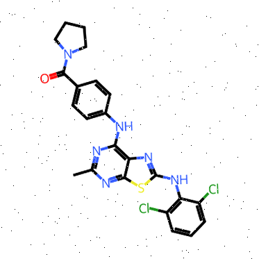 Cc1nc(Nc2ccc(C(=O)N3CCCC3)cc2)c2nc(Nc3c(Cl)cccc3Cl)sc2n1